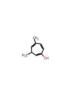 CC1=CC(C)C=C(O)C=C1